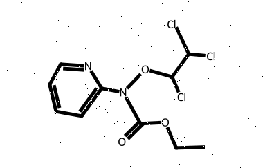 CCOC(=O)N(OC(Cl)C(Cl)Cl)c1ccccn1